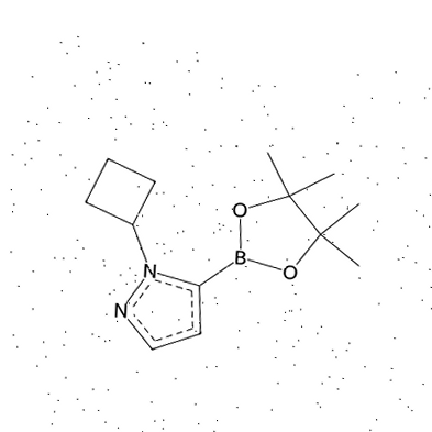 CC1(C)OB(c2ccnn2C2CCC2)OC1(C)C